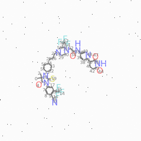 CC1(C)C(=O)N(c2ccc(C#N)c(C(F)(F)F)c2)C(=S)N1[C@H]1CC[C@H](CCCN2CCN(CC(=O)Nc3ccc(C4CCC(=O)NC4=O)nc3)[C@@H](C(F)(F)F)C2)CC1